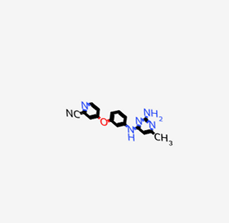 Cc1cc(Nc2cccc(Oc3ccnc(C#N)c3)c2)nc(N)n1